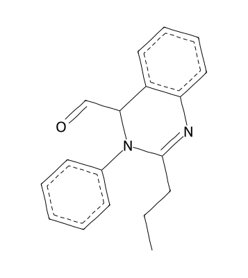 CCCC1=Nc2ccccc2C(C=O)N1c1ccccc1